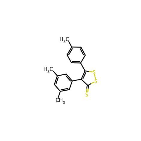 Cc1ccc(-c2ssc(=S)c2-c2cc(C)cc(C)c2)cc1